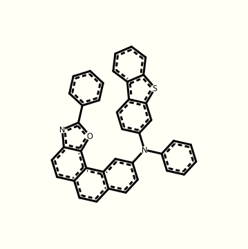 c1ccc(-c2nc3ccc4ccc5ccc(N(c6ccccc6)c6ccc7c(c6)sc6ccccc67)cc5c4c3o2)cc1